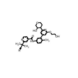 Cc1ccc(NC(=O)c2ccnc(C(C)(C)C#N)c2)cc1-c1cc(OCCO)nc(C2CCOCC2O)c1